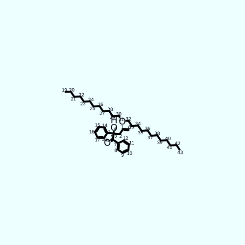 C=CCC(O)(C(=O)c1ccccc1)c1ccccc1.CCCCCCCCCCCCOCCCCCCCCCCCC